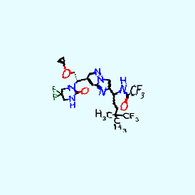 CC(C)(CCC(NC(=O)C(F)(F)F)c1cn2ncc([C@@H](COC3CC3)N3CC(F)(F)CNC3=O)cc2n1)C(F)(F)F